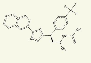 CC(C[C@H](c1ccc(C(F)(F)F)cc1)c1nnc(-c2ccc3cnccc3c2)o1)NC(=O)O